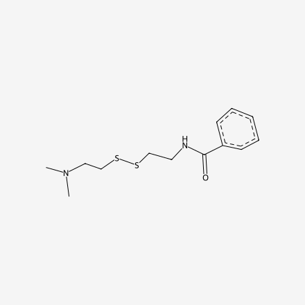 CN(C)CCSSCCNC(=O)c1ccccc1